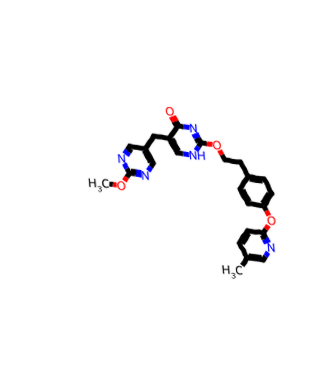 COc1ncc(Cc2c[nH]c(OCCc3ccc(Oc4ccc(C)cn4)cc3)nc2=O)cn1